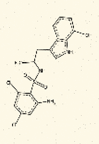 Nc1cc(Cl)cc(Cl)c1S(=O)(=O)NC(Cc1c[nH]c2c(O)cccc12)C(F)(F)F